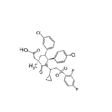 C[C@]1(CC(=O)O)CC(c2cccc(Cl)c2)[C@@H](c2ccc(Cl)cc2)N(C(CS(=O)(=O)c2ccc(F)cc2F)C2CC2)C1=O